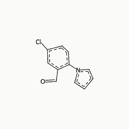 O=Cc1cc(Cl)ccc1-n1cccc1